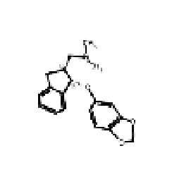 CN(C)C[C@@H]1Cc2ccccc2[C@H]1Oc1ccc2c(c1)OCO2